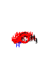 CC1OC(O[C@H]2/C=C/C=C/C=C/C=C/C=C/C=C/C=C/[C@H](C)[C@@H](O)[C@@H](C)C(C)OC(=O)C[C@H](O)C[C@H](O)CC[C@@H](O)[C@H](O)C[C@H](O)C[C@]3(O)C[C@H](O)[C@@H](C(=O)On4nnc5ccccc5c4=O)[C@H](C2)O3)C(O)C(NC(=O)OCC2c3ccccc3-c3ccccc32)C1O